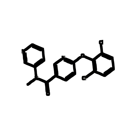 CN(C(=O)c1ccc(Oc2c(Cl)cccc2Cl)nc1)c1cccnc1